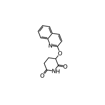 O=C1CCC(Oc2ccc3ccccc3n2)C(=O)N1